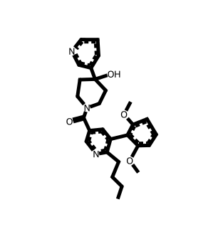 CCCCc1ncc(C(=O)N2CCC(O)(c3cccnc3)CC2)cc1-c1c(OC)cccc1OC